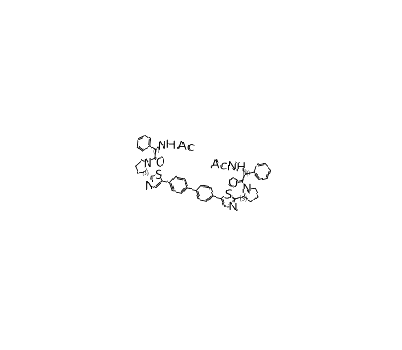 CC(=O)N[C@@H](C(=O)N1CCC[C@H]1c1ncc(-c2ccc(-c3ccc(-c4cnc([C@@H]5CCCN5C(=O)[C@H](NC(C)=O)c5ccccc5)s4)cc3)cc2)s1)c1ccccc1